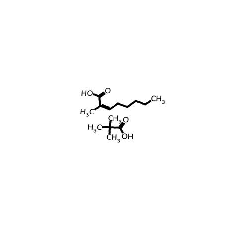 CC(C)(C)C(=O)O.CCCCCC=C(C)C(=O)O